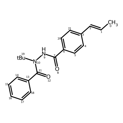 CC=Cc1ccc(C(=O)NN(C(=O)c2ccccc2)C(C)(C)C)cc1